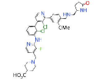 COc1cc(-c2nccc(-c3cccc(Nc4nccc(CN5CCC(C(=O)O)CC5)c4F)c3Cl)c2Cl)ccc1CNC[C@H]1CCC(=O)N1